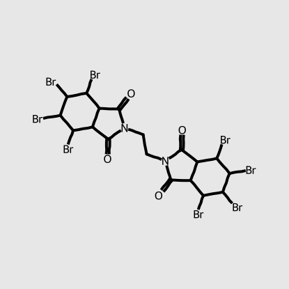 O=C1C2C(Br)C(Br)C(Br)C(Br)C2C(=O)N1CCN1C(=O)C2C(Br)C(Br)C(Br)C(Br)C2C1=O